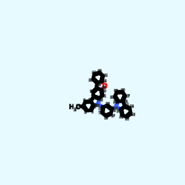 Cc1ccc2c(c1)c1cc3c(cc1n2-c1cccc(-n2c4ccccc4c4ccccc42)c1)oc1ccccc13